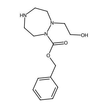 O=C(OCc1ccccc1)N1CCNCCN1CCO